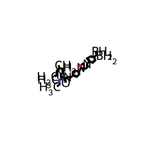 BC(P)c1ccc(N2CCN(c3ccc(CNC(=O)/C(=C(/C)CC)N4C=CC(C)=CC4=C)cc3)CC2)cc1